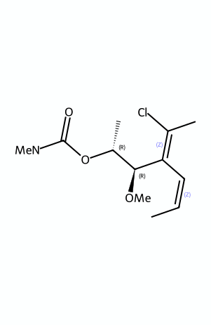 C/C=C\C(=C(/C)Cl)[C@@H](OC)[C@@H](C)OC(=O)NC